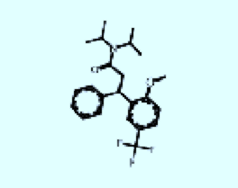 COc1ccc(C(F)(F)F)cc1C(CC(=O)N(C(C)C)C(C)C)c1ccccc1